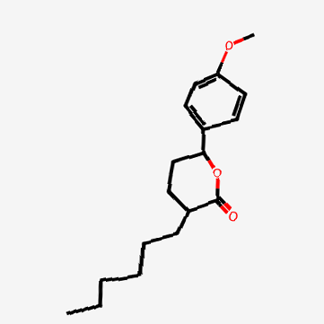 CCCCCCC1CCC(c2ccc(OC)cc2)OC1=O